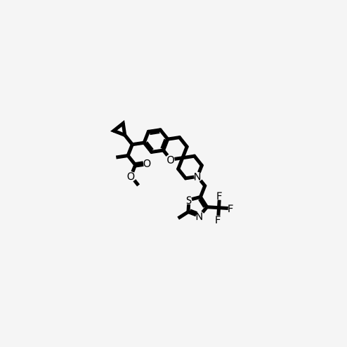 COC(=O)C(C)C(c1ccc2c(c1)OC1(CC2)CCN(Cc2sc(C)nc2C(F)(F)F)CC1)C1CC1